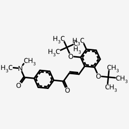 Cc1ccc(OC(C)(C)C)c(C=CC(=O)c2ccc(C(=O)N(C)C)cc2)c1OC(C)(C)C